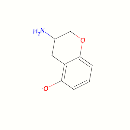 NC1COc2cccc([O])c2C1